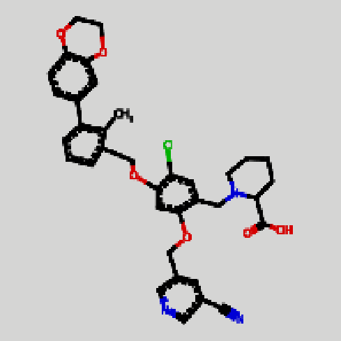 Cc1c(COc2cc(OCc3cncc(C#N)c3)c(CN3CCCCC3C(=O)O)cc2Cl)cccc1-c1ccc2c(c1)OCCO2